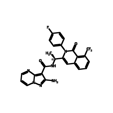 C[C@H](NC(=O)c1c(N)nn2cccnc12)c1cc2cccc(C(F)(F)F)c2c(=O)n1-c1ccc(F)cc1